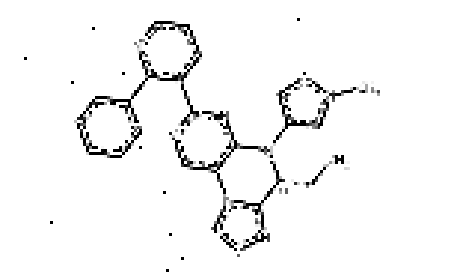 CC[C@@H]1c2nncn2-c2cnc(-c3cccnc3-c3ccccc3)nc2N1c1cnn(C)c1